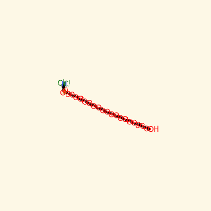 CC(C)(CCCS(=O)(=O)CCOCCOCCOCCOCCOCCOCCOCCOCCOCCOCCOCCOCCOCCOCCOCCOCCOCCOCCOCCO)N(Cl)Cl